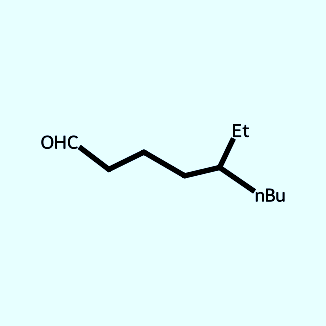 CCCCC(CC)CCCC=O